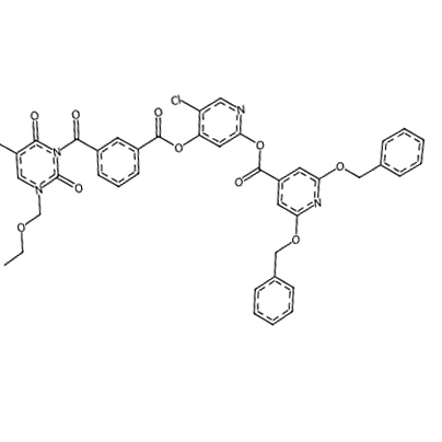 CCOCn1cc(F)c(=O)n(C(=O)c2cccc(C(=O)Oc3cc(OC(=O)c4cc(OCc5ccccc5)nc(OCc5ccccc5)c4)ncc3Cl)c2)c1=O